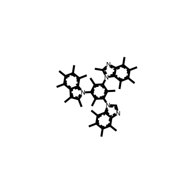 Cc1c(-n2cnc3c(C)c(C)c(C)c(C)c32)c(C)c(-n2c(C)c(C)c3c(C)c(C)c(C)c(C)c32)c(C)c1-n1c(C)nc2c(C)c(C)c(C)c(C)c21